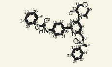 C=S(=O)(Cc1cc(N2CCOC[C@@H]2C)nc(-c2ccc(NC(=O)Oc3ccccc3)cc2)n1)c1ccccc1